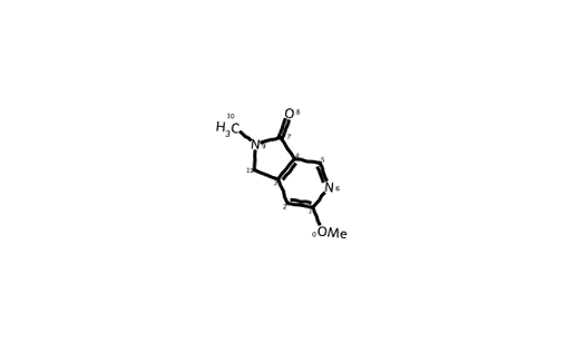 COc1cc2c(cn1)C(=O)N(C)C2